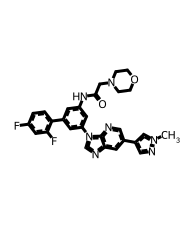 Cn1cc(-c2cnc3c(c2)ncn3-c2cc(NC(=O)CN3CCOCC3)cc(-c3ccc(F)cc3F)c2)cn1